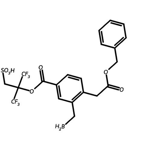 BCc1cc(C(=O)OC(CS(=O)(=O)O)(C(F)(F)F)C(F)(F)F)ccc1CC(=O)OCc1ccccc1